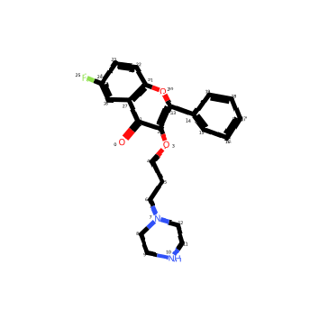 O=c1c(OCCCN2CCNCC2)c(-c2ccccc2)oc2ccc(F)cc12